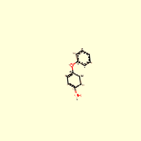 OC1=CC=C(Oc2ccccc2)CC1